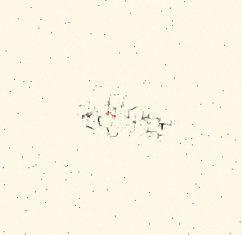 CN[C@@](C)(CO[C@H]1[C@H](n2ncnc2-c2ccncc2)C[C@@]23COC[C@]1(C)[C@@H]2CC[C@H]1C3=CC[C@]2(C)[C@H](OC(=O)O)[C@@](C)([C@H](C)C(C)C)CC[C@]12C)C(C)C